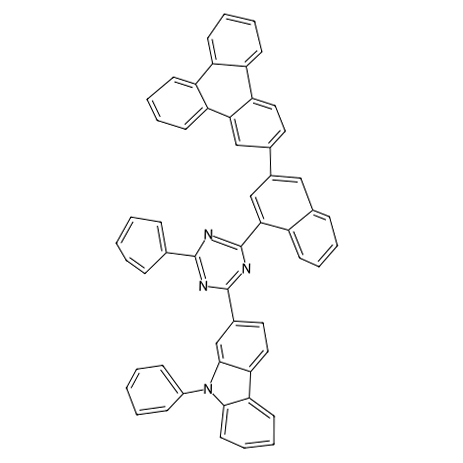 c1ccc(-c2nc(-c3ccc4c5ccccc5n(-c5ccccc5)c4c3)nc(-c3cc(-c4ccc5c6ccccc6c6ccccc6c5c4)cc4ccccc34)n2)cc1